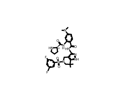 CN(C)c1ccc(C(=O)Nc2n[nH]c3c2CN(S(=O)(=O)c2cc(F)cc(F)c2)CC3(C)C)c(NC(=O)[C@H]2CCCN2)c1